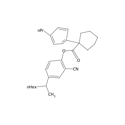 CCCCCCC(C)c1ccc(OC(=O)C2(c3ccc(CCC)cc3)CCCCC2)c(C#N)c1